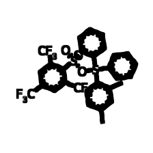 Cc1ccc(S(OS(=O)(=O)c2c(C(F)(F)F)cc(C(F)(F)F)cc2C(F)(F)F)(c2ccccc2)c2ccccc2)c(C)c1